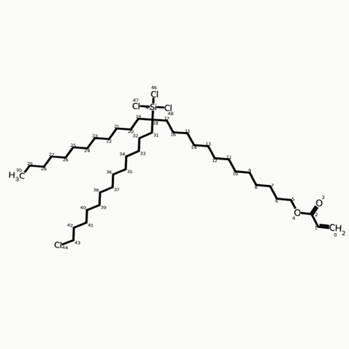 C=CC(=O)OCCCCCCCCCCCCCC(CCCCCCCCCCCC)(CCCCCCCCCCCCCCl)[Si](Cl)(Cl)Cl